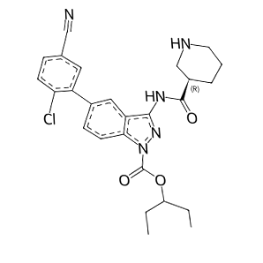 CCC(CC)OC(=O)n1nc(NC(=O)[C@@H]2CCCNC2)c2cc(-c3cc(C#N)ccc3Cl)ccc21